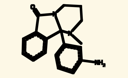 CN1CCCN2C(=O)c3ccccc3C12c1cccc(N)c1